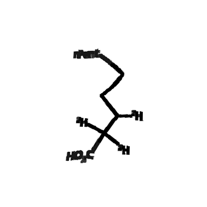 [2H]C(CCCCCCC)C([2H])([2H])C(=O)O